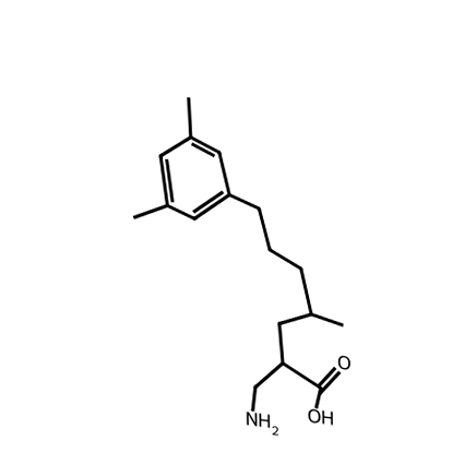 Cc1cc(C)cc(CCCC(C)CC(CN)C(=O)O)c1